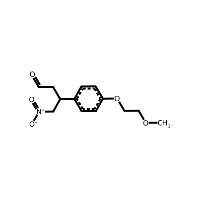 COCCOc1ccc(C(CC=O)C[N+](=O)[O-])cc1